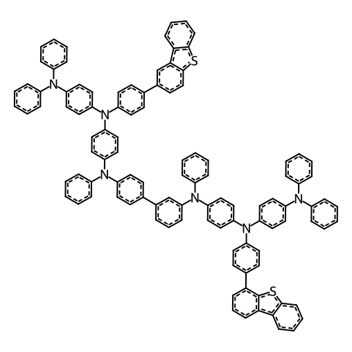 c1ccc(N(c2ccccc2)c2ccc(N(c3ccc(-c4ccc5sc6ccccc6c5c4)cc3)c3ccc(N(c4ccccc4)c4ccc(-c5cccc(N(c6ccccc6)c6ccc(N(c7ccc(-c8cccc9c8sc8ccccc89)cc7)c7ccc(N(c8ccccc8)c8ccccc8)cc7)cc6)c5)cc4)cc3)cc2)cc1